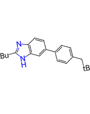 CC(C)(C)Cc1ccc(-c2ccc3nc(C(C)(C)C)[nH]c3c2)cc1